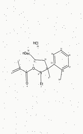 C=C(C)C(=O)ON(CC)C(C)(CCCCCCCCCCCC)c1ccccc1C.Cl